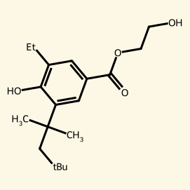 CCc1cc(C(=O)OCCO)cc(C(C)(C)CC(C)(C)C)c1O